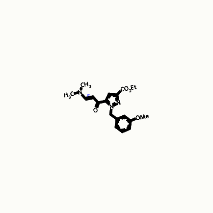 CCOC(=O)c1cc(C(=O)/C=C/N(C)C)n(Cc2cccc(OC)c2)n1